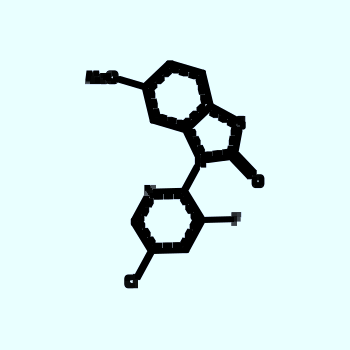 COc1ccc2sc(=O)n(-c3ncc(Cl)cc3F)c2c1